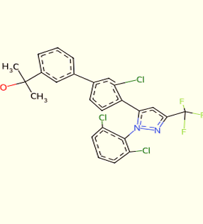 CC(C)(O)c1cccc(-c2ccc(-c3cc(C(F)(F)F)nn3-c3c(Cl)cccc3Cl)c(Cl)c2)c1